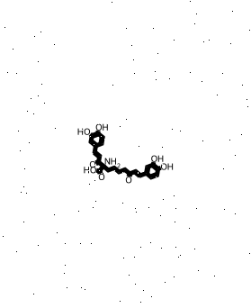 NC(CCCCC(=O)C=Cc1ccc(O)c(O)c1)(C(=O)O)C(=O)C=Cc1ccc(O)c(O)c1